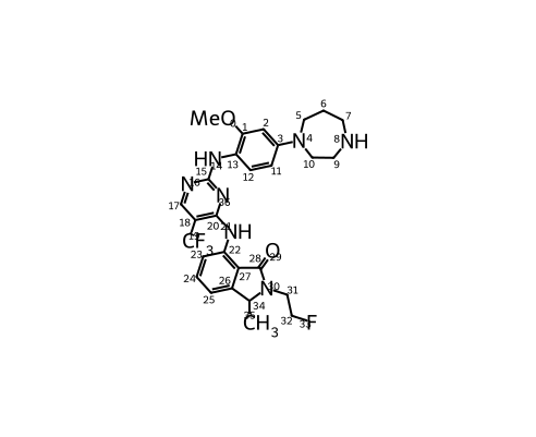 COc1cc(N2CCCNCC2)ccc1Nc1ncc(C(F)(F)F)c(Nc2cccc3c2C(=O)N(CCF)C3C)n1